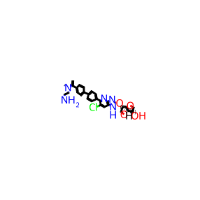 C=C(c1ccc(-c2ccc(-c3nc4nc(O[C@@H]5CO[C@H]6C5OC[C@H]6O)[nH]c4cc3Cl)cc2)cc1)N(C)CCN